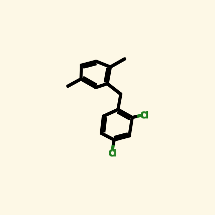 Cc1ccc(C)c(Cc2ccc(Cl)cc2Cl)c1